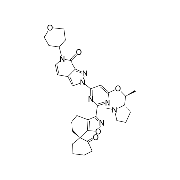 C[C@H](Oc1cc(-n2cc3ccn(C4CCOCC4)c(=O)c3n2)nc(-c2noc3c2CCC[C@@]32CCCCC2=O)n1)[C@@H]1CCCN1C